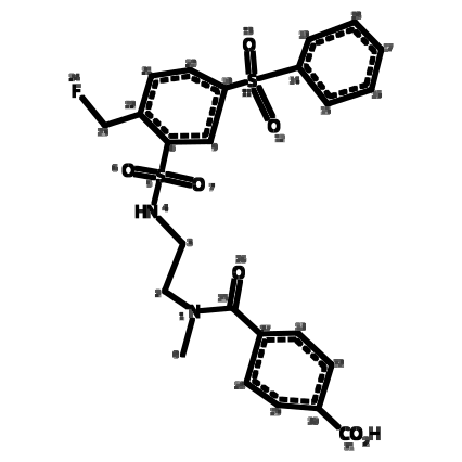 CN(CCNS(=O)(=O)c1cc(S(=O)(=O)c2ccccc2)ccc1CF)C(=O)c1ccc(C(=O)O)cc1